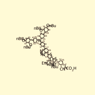 [C-]#[N+]/C(=C\c1ccc(-c2cc3c(s2)-c2sc(-c4ccc(-c5ccc(N(c6ccc(-c7ccc(OCCCC)cc7OCCCC)cc6)c6ccc(-c7ccc(OCCCC)cc7OCCCC)cc6)cc5)c5nsnc45)cc2C3(CC(CC)CCCC)CC(CC)CCCC)cc1)C(=O)O